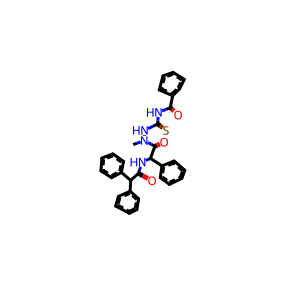 CN(NC(=S)NC(=O)c1ccccc1)C(=O)C(NC(=O)C(c1ccccc1)c1ccccc1)c1ccccc1